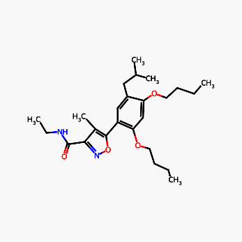 CCCCOc1cc(OCCCC)c(-c2onc(C(=O)NCC)c2C)cc1CC(C)C